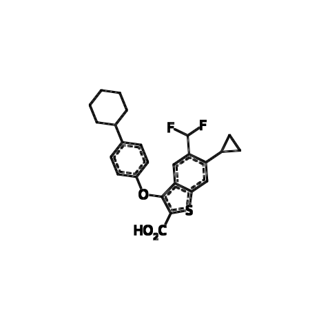 O=C(O)c1sc2cc(C3CC3)c(C(F)F)cc2c1Oc1ccc(C2CCCCC2)cc1